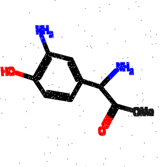 COC(=O)C(N)c1ccc(O)c(N)c1